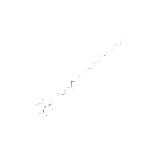 CCCCCCCCCCCCCCCCOCCCOP(O)N(C(C)C)C(C)C